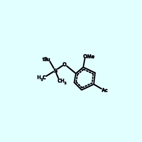 COc1cc(C(C)=O)ccc1O[Si](C)(C)C(C)(C)C